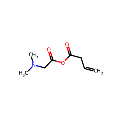 C=CCC(=O)OC(=O)CN(C)C